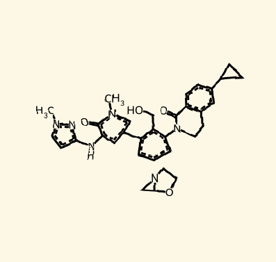 C1CN2CC2O1.Cn1ccc(Nc2cc(-c3cccc(N4CCc5cc(C6CC6)ccc5C4=O)c3CO)cn(C)c2=O)n1